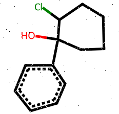 OC1(c2ccccc2)CCCCC1Cl